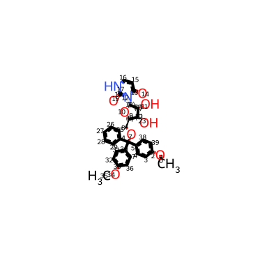 COc1ccc(C(OC[C@H]2O[C@@H](n3c(=O)cc[nH]c3=O)[C@H](O)[C@@H]2O)(c2ccccc2)c2ccc(OC)cc2)cc1